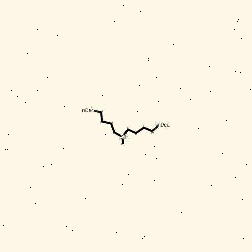 CCCCCCCCCCCCCC[SiH](C)CCCCCCCCCCCCCC